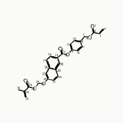 C=CC(=O)OCc1ccc(OC(=O)c2ccc3cc(OCOC(=O)C(=C)C)ccc3c2)cc1